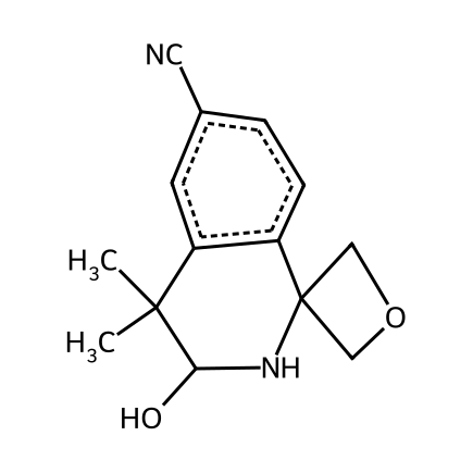 CC1(C)c2cc(C#N)ccc2C2(COC2)NC1O